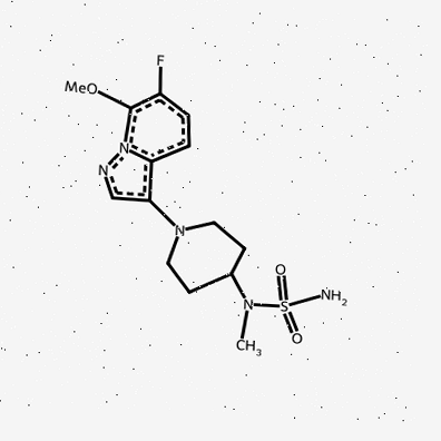 COc1c(F)ccc2c(N3CCC(N(C)S(N)(=O)=O)CC3)cnn12